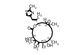 CC[C@H]1C(=O)C(C)(C)[C@@H](O)CC(=O)O[C@H](C(C)=Cc2csc(C)n2)C[C@@H]2O[C@@]2(C)CCC[C@H](C)[C@@H]1O